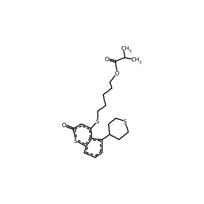 CC(C)C(=O)OCCCCCSc1cc(=O)sc2cccc(C3CCSCC3)c12